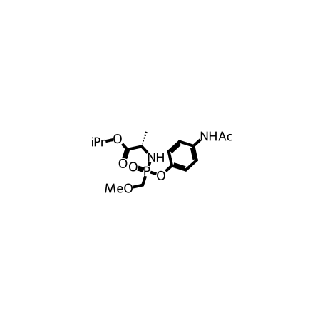 COCP(=O)(N[C@@H](C)C(=O)OC(C)C)Oc1ccc(NC(C)=O)cc1